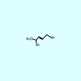 CC(=O)OC(C=CCC(C)C)C(C)C